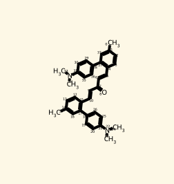 Cc1ccc(/C=C/C(=O)/C=C/c2ccc(C)cc2-c2ccc(N(C)C)cc2)c(-c2ccc(N(C)C)cc2)c1